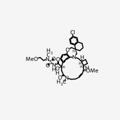 COCCN(C)S(=O)(=O)NC(=O)[C@@]1(O)CC(=O)N(C)CCC=C[C@H](OC)[C@@H]2CC[C@H]2CN2C[C@@]3(CCCc4cc(Cl)ccc43)COc3ccc1cc32